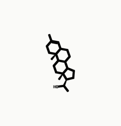 CC1=CC2CCC3C(CC[C@]4(C)C3CC[C@H]4C(C)O)[C@]2(C)CC1